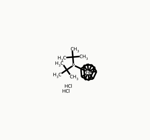 CC(C)(C)P(C(C)(C)C)[C]12[CH]3[CH]4[CH]5[CH]1[Fe]45321678[CH]2[CH]1[CH]6[CH]7[CH]28.Cl.Cl